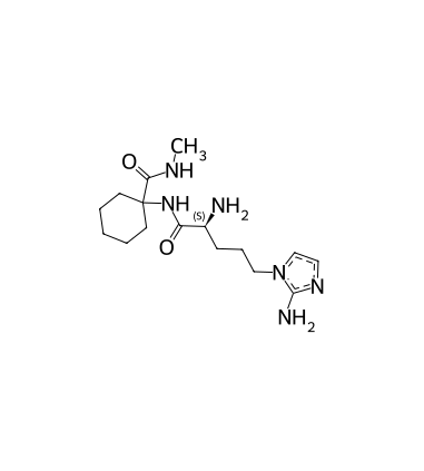 CNC(=O)C1(NC(=O)[C@@H](N)CCCn2ccnc2N)CCCCC1